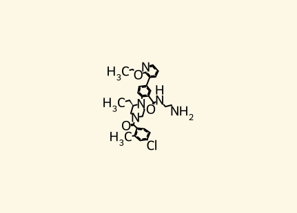 CCOc1ncccc1-c1ccc(N2CCN(C(=O)c3ccc(Cl)cc3C)C[C@H]2CC)c(C(=O)NCCN)c1